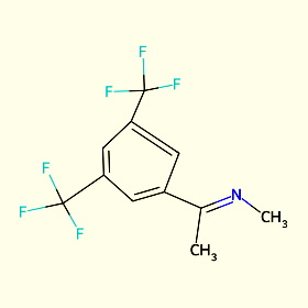 CN=C(C)c1cc(C(F)(F)F)cc(C(F)(F)F)c1